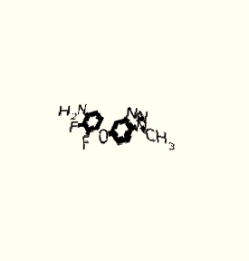 Cn1nnc2cc(Oc3ccc(N)c(F)c3F)ccc21